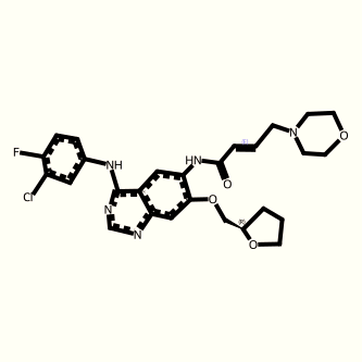 O=C(/C=C/CN1CCOCC1)Nc1cc2c(Nc3ccc(F)c(Cl)c3)ncnc2cc1OC[C@H]1CCCO1